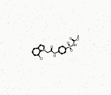 COC(=O)NS(=O)(=O)c1ccc(NC(=O)Cn2ccc3cccc(Cl)c32)cc1